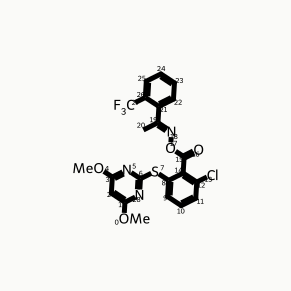 COc1cc(OC)nc(Sc2cccc(Cl)c2C(=O)O/N=C(\C)c2ccccc2C(F)(F)F)n1